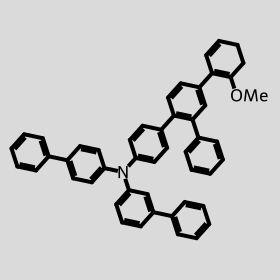 COC1=C(c2ccc(-c3ccc(N(c4ccc(-c5ccccc5)cc4)c4cccc(-c5ccccc5)c4)cc3)c(-c3ccccc3)c2)C=CCC1